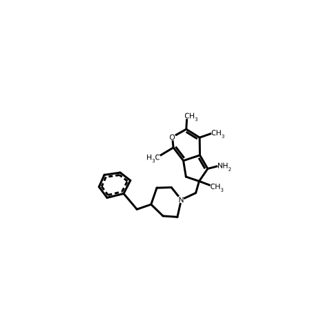 CC1=C(C)C2=C(N)C(C)(CN3CCC(Cc4ccccc4)CC3)CC2=C(C)O1